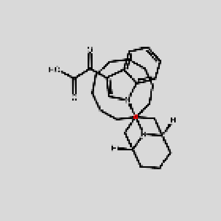 O=C(O)C(=O)c1cn([C@@H]2C[C@H]3CCC[C@@H](C2)N3C2CCCCCCCCC2)c2ccccc12